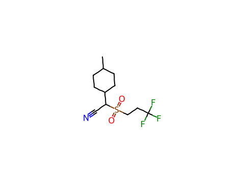 CC1CCC(C(C#N)S(=O)(=O)CCC(F)(F)F)CC1